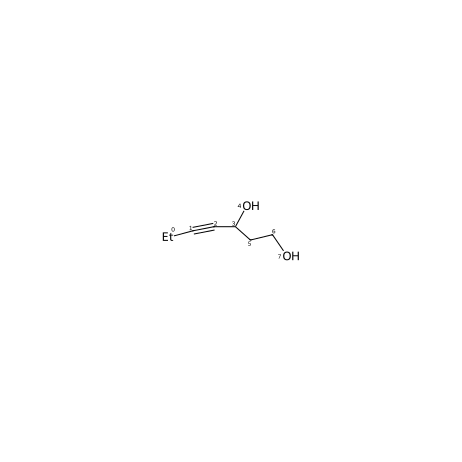 CCC#CC(O)CCO